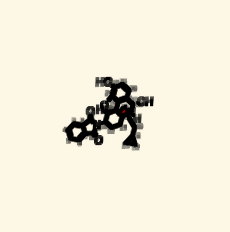 O=C1c2ccccc2C(=O)N1[C@@H]1CC[C@@]2(O)[C@H]3[C@@H](O)c4ccc(O)c5c4[C@@]2(CCN3CC2CC2)[C@H]1O5